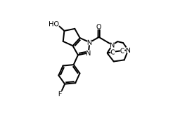 O=C(N1CCN2CCC1CC2)n1nc(-c2ccc(F)cc2)c2c1CC(O)C2